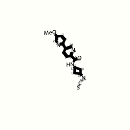 COc1ccc(-c2ccc(C(=O)NC3CC(N=C=S)C3)nc2)nc1